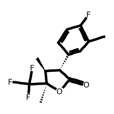 Cc1cc([C@@H]2C(=O)O[C@@](C)(C(F)(F)F)[C@H]2C)ccc1F